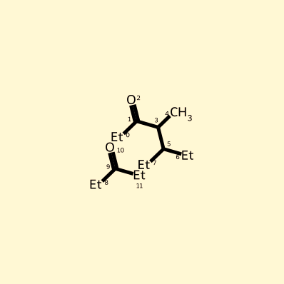 CCC(=O)C(C)C(CC)CC.CCC(=O)CC